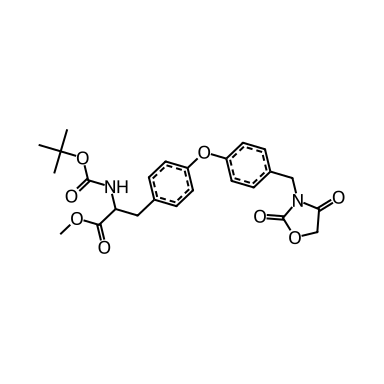 COC(=O)C(Cc1ccc(Oc2ccc(CN3C(=O)COC3=O)cc2)cc1)NC(=O)OC(C)(C)C